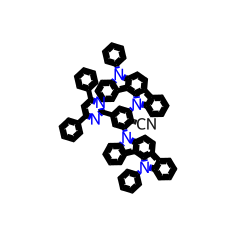 N#Cc1c(-n2c3ccccc3c3c2ccc2c4ccccc4n(-c4ccccc4)c23)cc(-c2nc(-c3ccccc3)cc(-c3ccccc3)n2)cc1-n1c2ccccc2c2ccc3c(c4ccccc4n3-c3ccccc3)c21